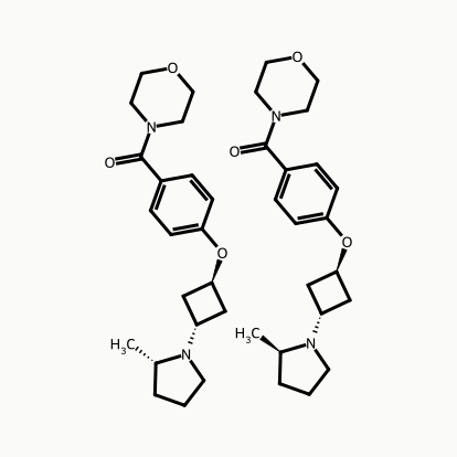 C[C@@H]1CCCN1[C@H]1C[C@H](Oc2ccc(C(=O)N3CCOCC3)cc2)C1.C[C@H]1CCCN1[C@H]1C[C@H](Oc2ccc(C(=O)N3CCOCC3)cc2)C1